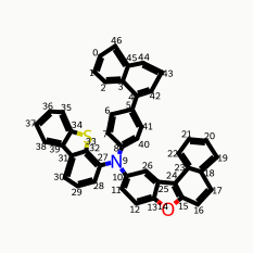 c1ccc2c(-c3ccc(N(c4ccc5oc6ccc7ccccc7c6c5c4)c4cccc5c4sc4ccccc45)cc3)cccc2c1